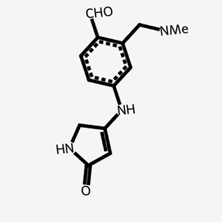 CNCc1cc(NC2=CC(=O)NC2)ccc1C=O